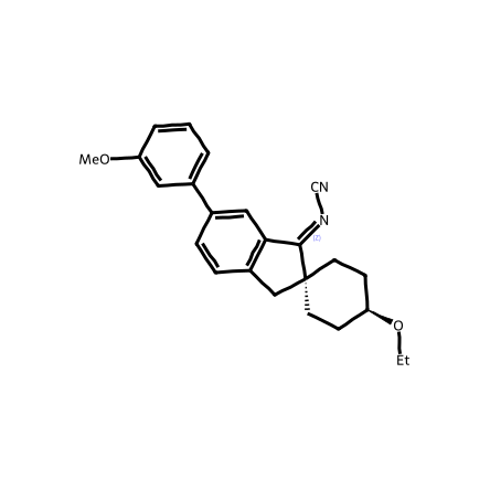 CCO[C@H]1CC[C@]2(CC1)Cc1ccc(-c3cccc(OC)c3)cc1/C2=N\C#N